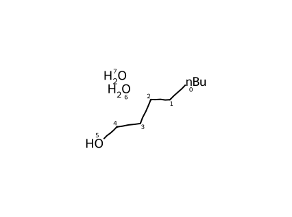 CCCCCCCCO.O.O